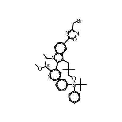 CCn1c(-c2cccnc2[C@H](C)OC)c(CC(C)(C)CO[Si](c2ccccc2)(c2ccccc2)C(C)(C)C)c2cc(-c3nc(CBr)no3)ccc21